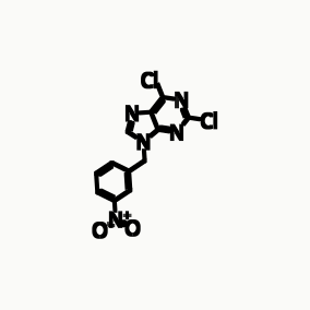 O=[N+]([O-])c1cccc(Cn2cnc3c(Cl)nc(Cl)nc32)c1